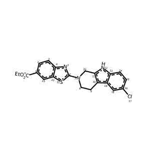 CCOC(=O)c1ccc2nc(N3CCc4c([nH]c5ccc(Cl)cc45)C3)sc2c1